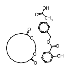 CC(=O)O.O=C(OCc1ccccc1)c1ccccc1O.O=C1CCCCCCCCCCC(=O)OCCO1